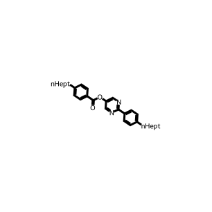 CCCCCCCc1ccc(C(=O)Oc2cnc(-c3ccc(CCCCCCC)cc3)nc2)cc1